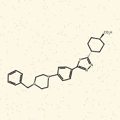 O=C(O)[C@H]1CC[C@H](c2nnc(-c3ccc(N4CCN(Cc5ccccc5)CC4)cc3)s2)CC1